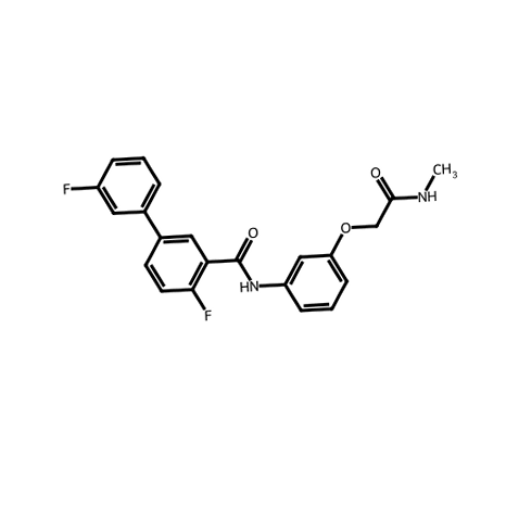 CNC(=O)COc1cccc(NC(=O)c2cc(-c3cccc(F)c3)ccc2F)c1